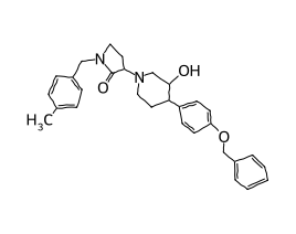 Cc1ccc(CN2CCC(N3CCC(c4ccc(OCc5ccccc5)cc4)C(O)C3)C2=O)cc1